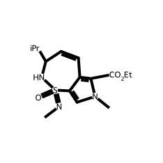 CCOC(=O)c1c2c(cn1C)S(=O)(=NC)NC(C(C)C)C=C2